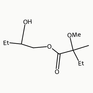 CCC(O)COC(=O)C(C)(CC)OC